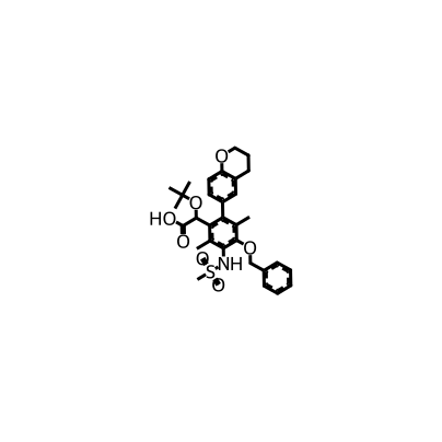 Cc1c(OCc2ccccc2)c(NS(C)(=O)=O)c(C)c(C(OC(C)(C)C)C(=O)O)c1-c1ccc2c(c1)CCCO2